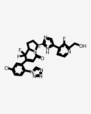 O=C1C=C(c2cc(Cl)ccc2-n2cnnn2)C(F)(F)C2CC[C@@H](c3ncc(-c4ccnc(CO)c4F)[nH]3)N12